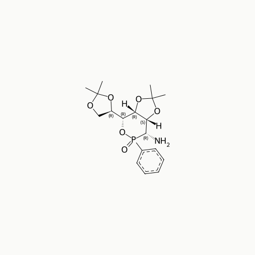 CC1(C)O[C@H]2[C@@H]([C@H]3COC(C)(C)O3)OP(=O)(c3ccccc3)[C@@H](N)[C@H]2O1